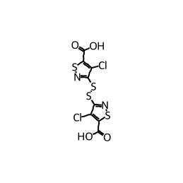 O=C(O)c1snc(SSc2nsc(C(=O)O)c2Cl)c1Cl